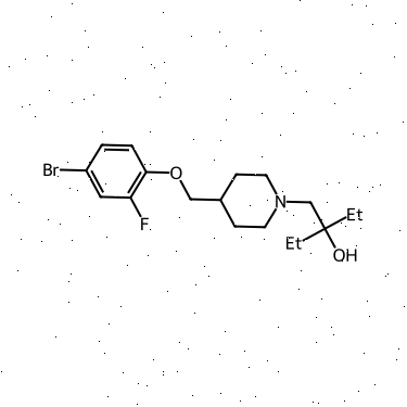 CCC(O)(CC)CN1CCC(COc2ccc(Br)cc2F)CC1